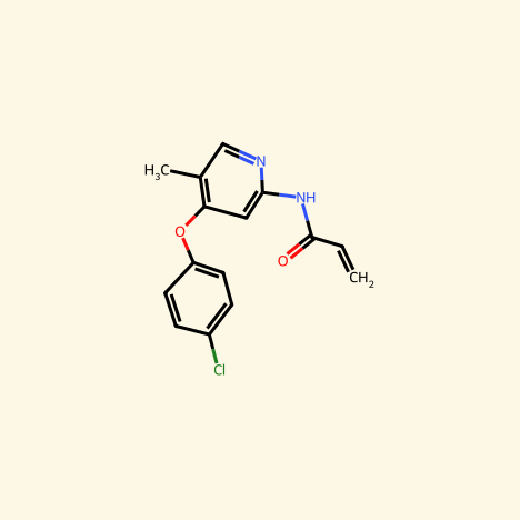 C=CC(=O)Nc1cc(Oc2ccc(Cl)cc2)c(C)cn1